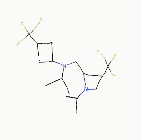 CC(C)N(CC1C(C(F)(F)F)CN1C(C)C)C1CC(C(F)(F)F)C1